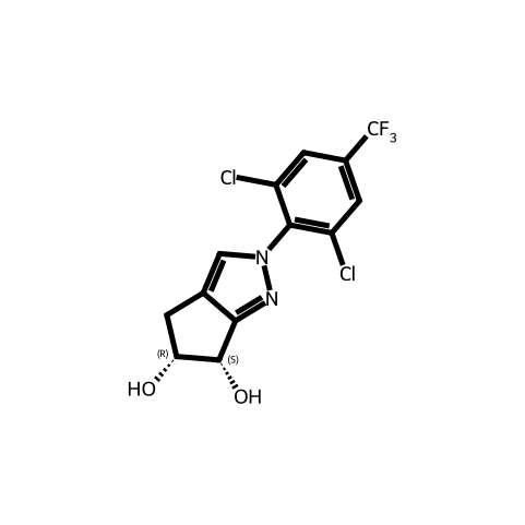 O[C@@H]1Cc2cn(-c3c(Cl)cc(C(F)(F)F)cc3Cl)nc2[C@@H]1O